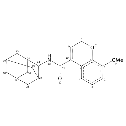 COc1cccc2c1OCC=C2C(=O)NC1C2CC3CC(C2)CC1C3